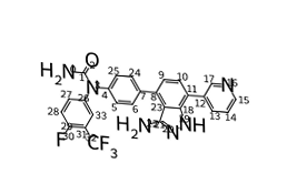 NC(=O)N(c1ccc(-c2ccc(-c3cccnc3)c3[nH]nc(N)c23)cc1)c1ccc(F)c(C(F)(F)F)c1